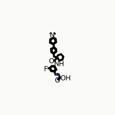 CN(C)c1ccc(-c2ccc(CC3(C(=O)Nc4cc(F)cc(/C=C/C(=O)O)c4)CCCCC3)cc2)cc1